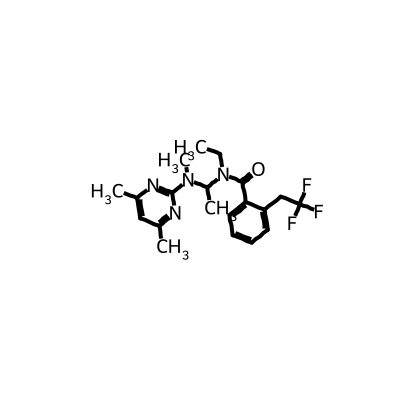 CCN(C(=O)c1ccccc1CC(F)(F)F)C(C)N(C)c1nc(C)cc(C)n1